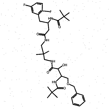 CC(C)(CNC(=O)CC(Cc1cc(F)ccc1F)NC(=O)C(C)(C)C)CNC(=O)C(O)C(COCc1ccccc1)NC(=O)C(C)(C)C